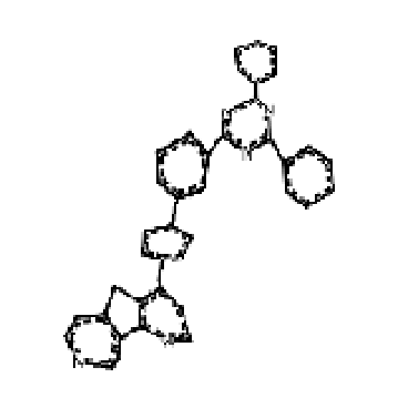 c1ccc(-c2nc(-c3ccccc3)nc(-c3cccc(-c4ccc(-c5ccnc6c5Cc5ccncc5-6)cc4)c3)n2)cc1